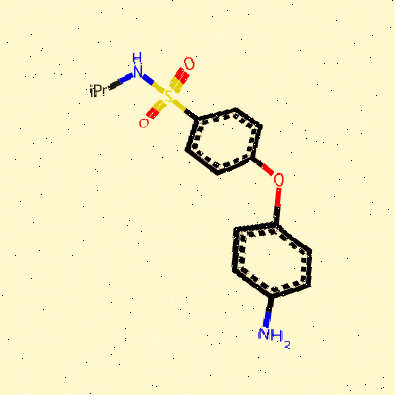 CC(C)NS(=O)(=O)c1ccc(Oc2ccc(N)cc2)cc1